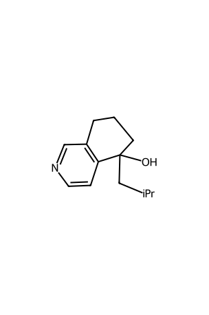 CC(C)CC1(O)CCCc2cnccc21